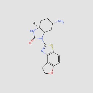 N[C@H]1CC[C@@H]2NC(=O)N(c3nc4c5c(ccc4s3)OCC5)C2C1